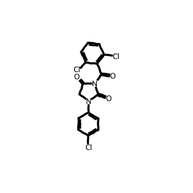 O=C1CN(c2ccc(Cl)cc2)C(=O)N1C(=O)c1c(Cl)cccc1Cl